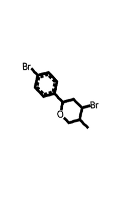 CC1COC(c2ccc(Br)cc2)CC1Br